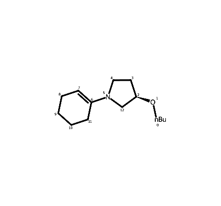 CCCCO[C@@H]1CCN(C2=CCCCC2)C1